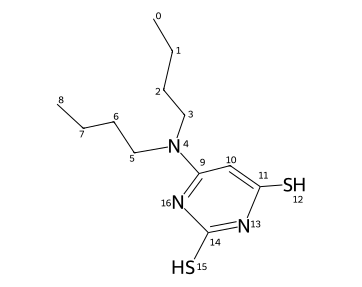 CCCCN(CCCC)c1cc(S)nc(S)n1